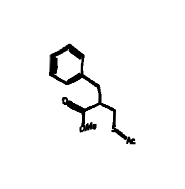 COC(=O)C(CSC(C)=O)Cc1ccccc1